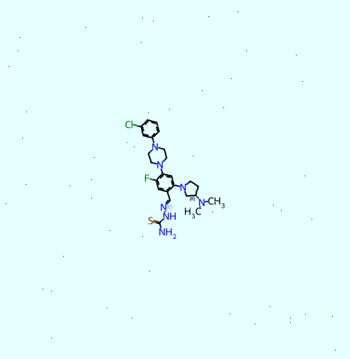 CN(C)[C@@H]1CCN(c2cc(N3CCN(c4cccc(Cl)c4)CC3)c(F)cc2/C=N/NC(N)=S)C1